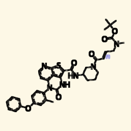 Cc1cc(Oc2ccccc2)ccc1N1C(=O)Nc2c(C(=O)NC3CCCN(C(=O)/C=C/CN(C)C(=O)OC(C)(C)C)C3)sc3nccc1c23